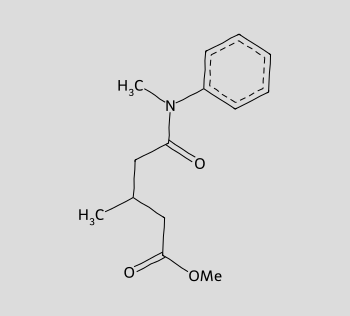 COC(=O)CC(C)CC(=O)N(C)c1ccccc1